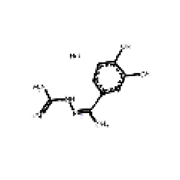 C/C(=N/NC(=N)N)c1ccc(O)c(O)c1.Cl